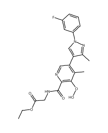 CCOC(=O)CNC(=O)c1ncc(-c2cn(-c3cccc(F)c3)nc2C)c(C)c1OO